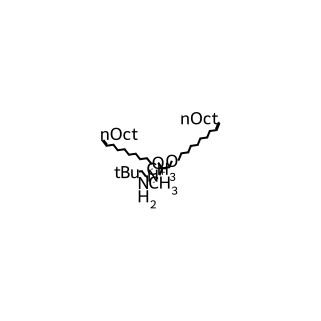 CCCCCCCC/C=C\CCCCCCCCOCC(C[N+](C)(C)C(N)CC(C)(C)C)OCCCCCCCC/C=C\CCCCCCCC